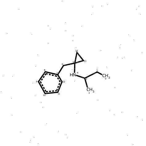 CCC(C)NC1(Cc2ccccc2)CC1